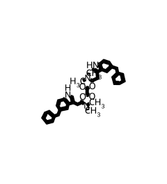 CN(C)C(Cc1c[nH]c2ccc(Cc3ccccc3)cc12)OC(=O)C(=O)OC(Cc1c[nH]c2ccc(Cc3ccccc3)cc12)N(C)C